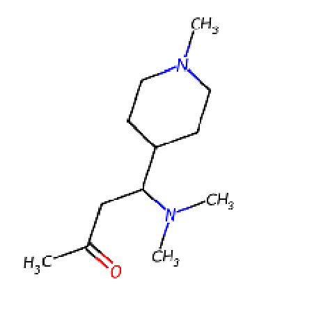 CC(=O)CC(C1CCN(C)CC1)N(C)C